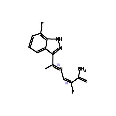 C=C(N)/C(F)=C\N=C(/C)c1n[nH]c2c(F)cccc12